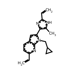 C=Cc1ccc2cc(-c3nc(C=C)[nH]c3C)n(CC3CC3)c2n1